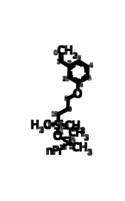 C=Cc1cccc(OCCC[Si](C)(C)O[Si](C)(C)CCC)c1